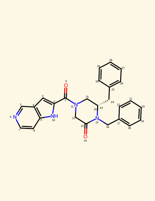 O=C(c1cc2cnccc2[nH]1)N1CC(=O)N(Cc2ccccc2)[C@@H](Cc2ccccc2)C1